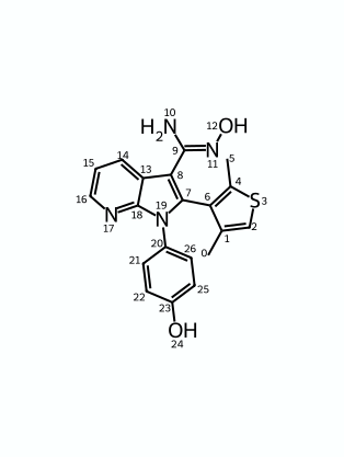 Cc1csc(C)c1-c1c(/C(N)=N/O)c2cccnc2n1-c1ccc(O)cc1